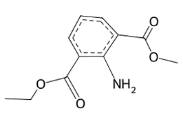 CCOC(=O)c1cccc(C(=O)OC)c1N